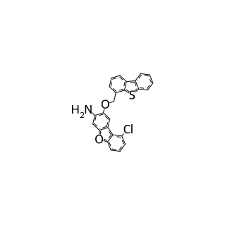 Nc1cc2oc3cccc(Cl)c3c2cc1OCc1cccc2c1sc1ccccc12